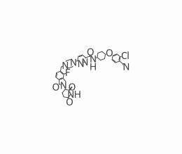 N#Cc1ccc(OC2CCC(NC(=O)c3ccc(N4CCN(Cc5ccc6c(c5F)CN(C5CCC(=O)NC5=O)C6=O)CC4)nn3)CC2)cc1Cl